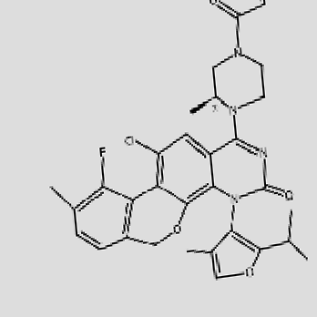 C=CC(=O)N1CCN(c2nc(=O)n(-c3c(C)coc3C(C)C)c3c4c(c(Cl)cc23)-c2c(ccc(C)c2F)CO4)[C@@H](C)C1